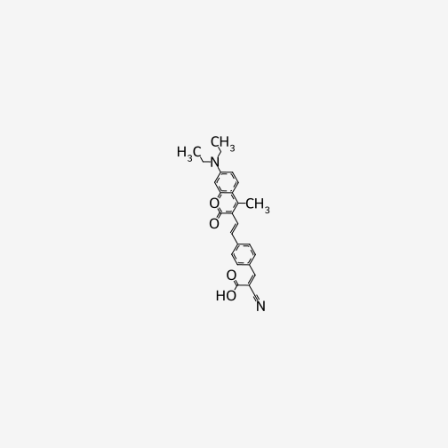 CCN(CC)c1ccc2c(C)c(/C=C/c3ccc(/C=C(/C#N)C(=O)O)cc3)c(=O)oc2c1